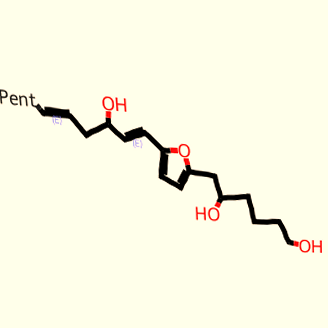 CCCCC/C=C/CC(O)/C=C/c1ccc(CC(O)CCCCO)o1